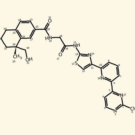 Cc1nccc(-c2cccc(-c3csc(NC(=O)CNC(=O)c4ccc5c(c4)[C@](C)(CO)CCC5)n3)n2)n1